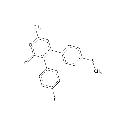 CSc1ccc(-c2cc(C)oc(=O)c2-c2ccc(F)cc2)cc1